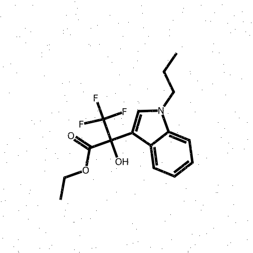 CCCn1cc(C(O)(C(=O)OCC)C(F)(F)F)c2ccccc21